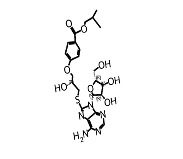 CC(C)COC(=O)c1ccc(OC[C@@H](O)CSc2nc3c(N)ncnc3n2[C@@H]2O[C@H](CO)[C@@H](O)[C@H]2O)cc1